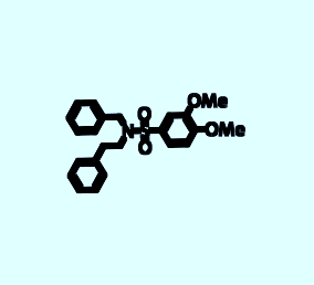 COc1ccc(S(=O)(=O)N(CCc2ccccc2)Cc2ccccc2)cc1OC